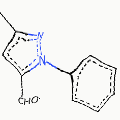 Cc1cc([C]=O)n(-c2ccccc2)n1